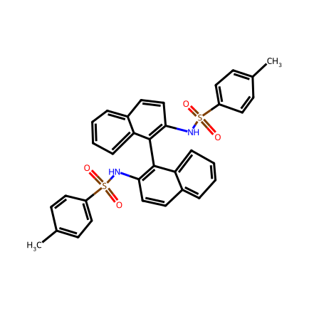 Cc1ccc(S(=O)(=O)Nc2ccc3ccccc3c2-c2c(NS(=O)(=O)c3ccc(C)cc3)ccc3ccccc23)cc1